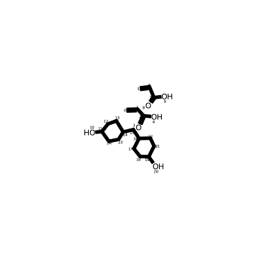 C=CC(=O)O.C=CC(=O)O.OC1CCC(CC2CCC(O)CC2)CC1